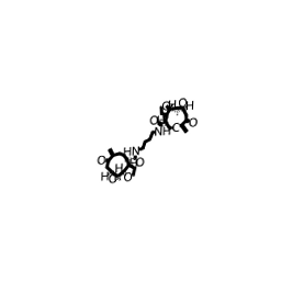 C=C1CC[C@H](C(=O)NCCCCNC(=O)[C@H]2CCC(=C)C(=O)C[C@@H]3O[C@]3(C)[C@H]3OCC[C@@H]23)[C@@H]2CCO[C@@H]2[C@@]2(C)O[C@H]2CC1=O